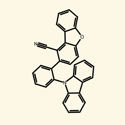 N#Cc1c(-c2ccccc2-n2c3ccccc3c3ccccc32)ccc2oc3ccccc3c12